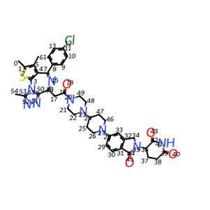 Cc1sc2c(c1C)C(c1ccc(Cl)cc1)=N[C@@H](CC(=O)N1CCN(C3CCN(c4ccc5c(c4)CN(C4CCC(=O)NC4=O)C5=O)CC3)CC1)c1nnc(C)n1-2